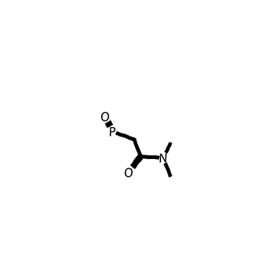 CN(C)C(=O)CP=O